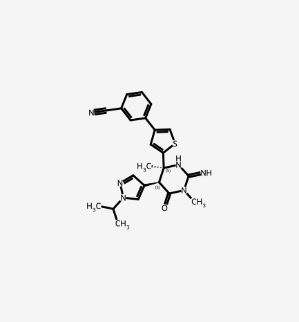 CC(C)n1cc([C@@H]2C(=O)N(C)C(=N)N[C@]2(C)c2cc(-c3cccc(C#N)c3)cs2)cn1